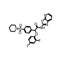 O=C(Nc1nc2cccnc2s1)C(Oc1ccc(F)cc1F)c1ccc(S(=O)(=O)N2CCCCC2)cc1